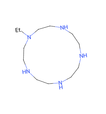 CCN1CCNCCNCCNCCNCC1